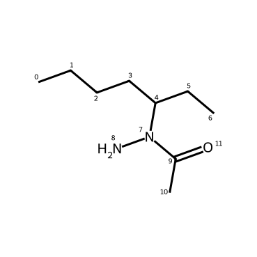 CCCCC(CC)N(N)C(C)=O